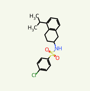 CC(C)c1cccc2c1CCC(NS(=O)(=O)c1ccc(Cl)cc1)C2